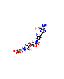 CC(=O)[C@H](Cc1cn(CCOS(=O)(=O)O)nn1)NC(=O)CC[C@H](NC(=O)c1ccc(NCc2cnc3nc(N)nc(O)c3n2)cc1)C(=O)O